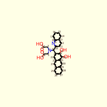 O=C(O)CN(CC(=O)O)C(c1ccc2ccccc2n1)c1cc2cc3ccccc3cc2c(O)c1O